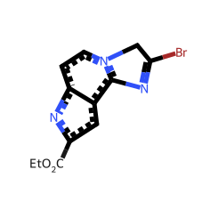 CCOC(=O)c1cc2c3n(ccc-2n1)CC(Br)=N3